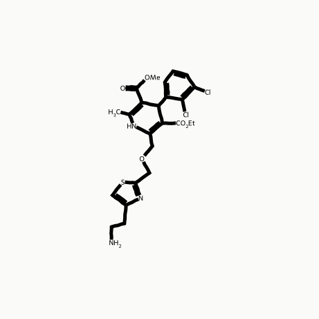 CCOC(=O)C1=C(COCc2nc(CCN)cs2)NC(C)=C(C(=O)OC)C1c1cccc(Cl)c1Cl